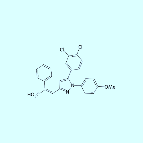 COc1ccc(-n2nc(C=C(C(=O)O)c3ccccc3)cc2-c2ccc(Cl)c(Cl)c2)cc1